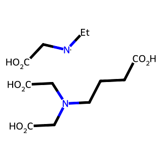 O=C(O)CCCN(CC(=O)O)CC(=O)O.[CH2]C[N]CC(=O)O